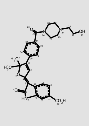 CC1(C)OC(=C2C(=O)Nc3cc(C(=O)O)ccc32)C=C1c1ccc(C(=O)N2CCN(CCO)CC2)cc1